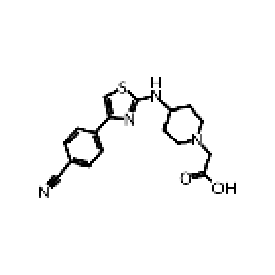 N#Cc1ccc(-c2csc(NC3CCN(CC(=O)O)CC3)n2)cc1